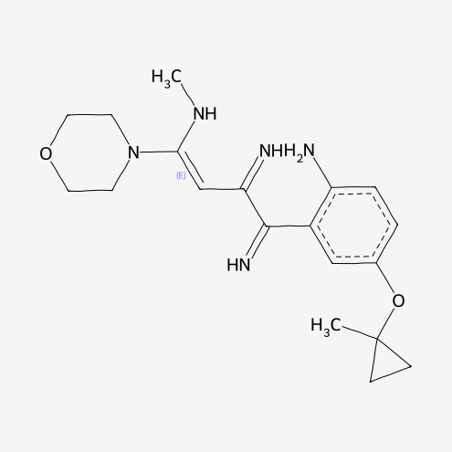 CN/C(=C\C(=N)C(=N)c1cc(OC2(C)CC2)ccc1N)N1CCOCC1